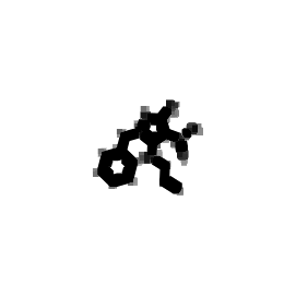 C=CCNc1c([N+](=O)[O-])c(Br)nn1Cc1ccccc1